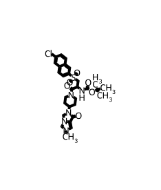 CN1C=C2C(=O)N(C3CCN(C(=O)C(CS(=O)(=O)c4ccc5cc(Cl)ccc5c4)NC(=O)OC(C)(C)C)CC3)CN2C1